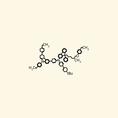 C=CC1=CC=C(C2CC=C3C(C2)c2cc(C4C=CC(N(C5=CCC(C6=CCC(C(C)(C)C)CC6)C=C5)c5ccc6c(c5)C(CCCCC(C)COc5ccc(C=C)cc5)(c5ccccc5)c5ccccc5-6)=CC4)ccc2N3c2ccc(C=C)cc2)CC1